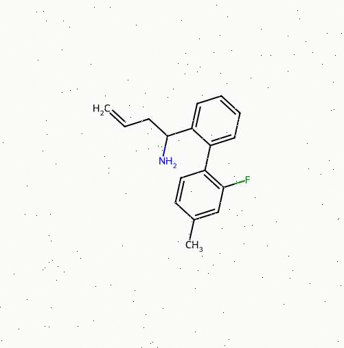 C=CCC(N)c1ccccc1-c1ccc(C)cc1F